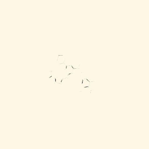 COc1cc(CCN(C)c2cc(N3CCC(O)CC3)nc(Nc3nc(C)c(C(=O)O)s3)n2)cc(OC)c1OC